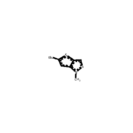 Cn1ncc2sc(C(C)(C)C)cc21